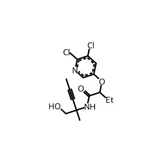 CC#CC(C)(CO)NC(=O)C(CC)Oc1cnc(Cl)c(Cl)c1